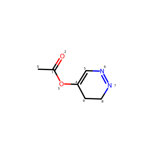 CC(=O)OC1=CN=NCC1